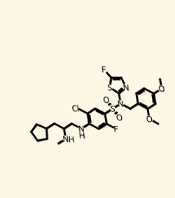 CNC(CNc1cc(F)c(S(=O)(=O)N(Cc2ccc(OC)cc2OC)c2ncc(F)s2)cc1Cl)CC1CCCC1